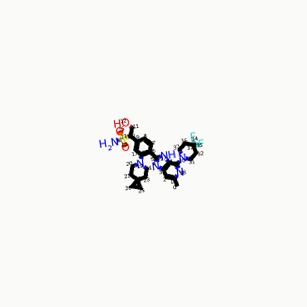 Cc1cc2nc(-c3ccc(C(CO)S(N)(=O)=O)cc3N3CCC4(CC3)CC4)[nH]c2c(N2CCC(F)(F)CC2)n1